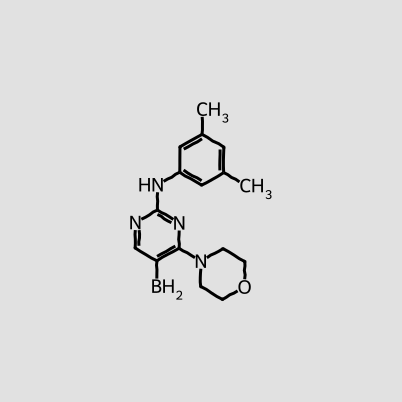 Bc1cnc(Nc2cc(C)cc(C)c2)nc1N1CCOCC1